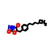 CCCCCc1ccc(CC2OC(=O)NC2=O)cc1